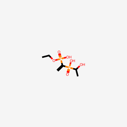 C=C(P(=O)(O)OCC)P(=O)(O)C(C)O